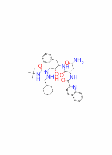 CC(C)(C)NC(=O)N(CC(O)C(Cc1ccccc1)NC(=O)[C@H](CC(N)=O)NC(=O)c1ccc2ccccc2n1)NCC1CCCCC1